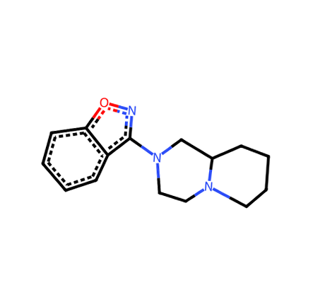 c1ccc2c(N3CCN4CCCCC4C3)noc2c1